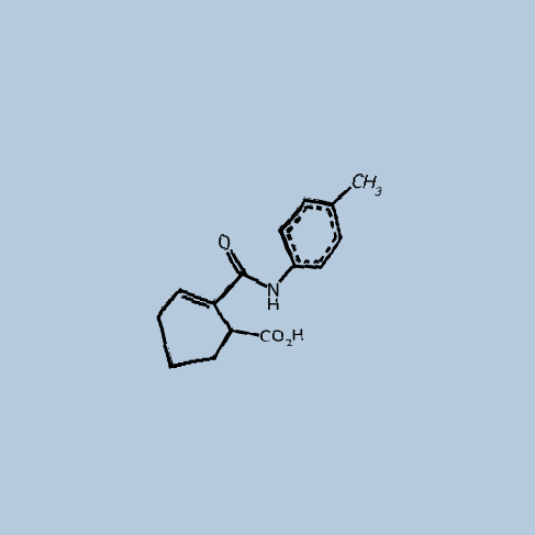 Cc1ccc(NC(=O)C2=CCCCC2C(=O)O)cc1